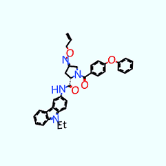 C=CCON=C1C[C@@H](C(=O)Nc2ccc3c(c2)c2ccccc2n3CC)N(C(=O)c2ccc(Oc3ccccc3)cc2)C1